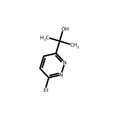 CCc1ccc(C(C)(C)O)nn1